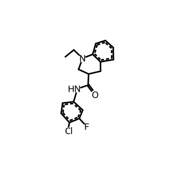 CCN1CC(C(=O)Nc2ccc(Cl)c(F)c2)Cc2ccccc21